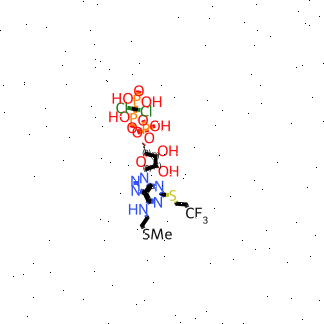 CSCCNc1nc(SCCC(F)(F)F)nc2c1nnn2[C@@H]1O[C@H](COP(=O)(O)OP(=O)(O)C(Cl)(Cl)P(=O)(O)O)[C@H](O)[C@@H]1O